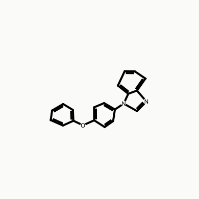 c1ccc(Oc2ccc(-n3cnc4ccccc43)cc2)cc1